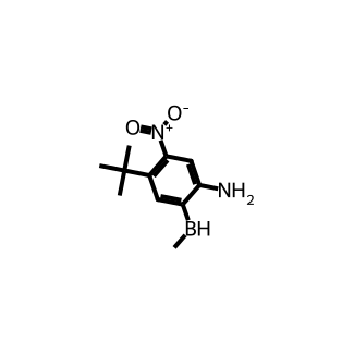 CBc1cc(C(C)(C)C)c([N+](=O)[O-])cc1N